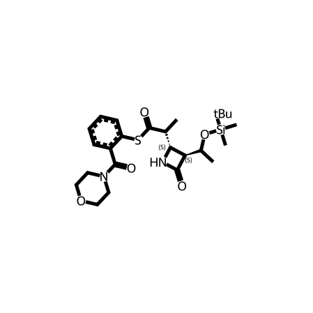 CC(C(=O)Sc1ccccc1C(=O)N1CCOCC1)[C@H]1NC(=O)[C@@H]1C(C)O[Si](C)(C)C(C)(C)C